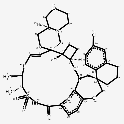 C[C@@H]1[C@@H](C)C/C=C/[C@]2(CN3CCOC[C@@H]3CO2)[C@@H]2CC[C@H]2CN2C[C@@]3(CCCc4cc(Cl)ccc43)COc3ccc(cc32)C(=O)NS1(=O)=O